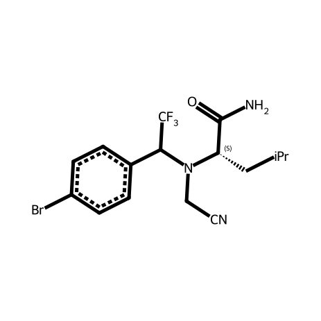 CC(C)C[C@@H](C(N)=O)N(CC#N)C(c1ccc(Br)cc1)C(F)(F)F